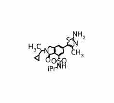 Cc1nc(N)sc1-c1cc2c(c(S(=O)(=O)NC(C)C)c1)C(=O)N([C@@H](C)C1CC1)C2